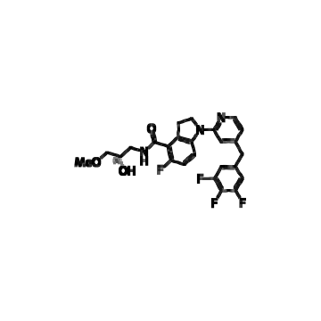 COC[C@@H](O)CNC(=O)c1c(F)ccc2c1CCN2c1cc(Cc2cc(F)c(F)c(F)c2)ccn1